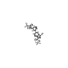 CC(C)(C)OC(=O)n1nc(I)c2cc(-c3cncc(NC(=O)C4CC4)c3)cnc21